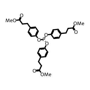 COC(=O)CCc1ccc(OP(Oc2ccc(CCC(=O)OC)cc2)Oc2ccc(CCC(=O)OC)cc2)cc1